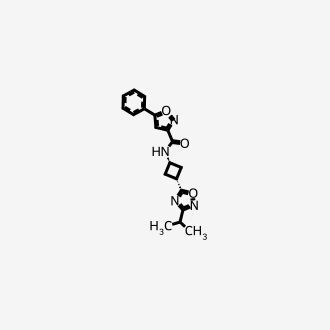 CC(C)c1noc([C@H]2C[C@@H](NC(=O)c3cc(-c4ccccc4)on3)C2)n1